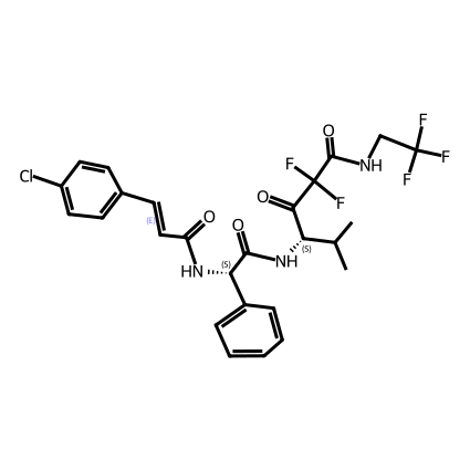 CC(C)[C@H](NC(=O)[C@@H](NC(=O)/C=C/c1ccc(Cl)cc1)c1ccccc1)C(=O)C(F)(F)C(=O)NCC(F)(F)F